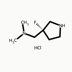 CN(C)C[C@]1(F)CCNC1.Cl